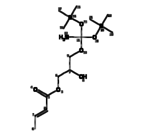 CC=CC(=O)OCC(O)COC([SiH3])(O[Si](C)(C)C)O[Si](C)(C)C